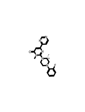 C[C@@H]1CN(c2ccccc2F)CCN1c1nc(-c2ccncn2)cc(=O)n1C